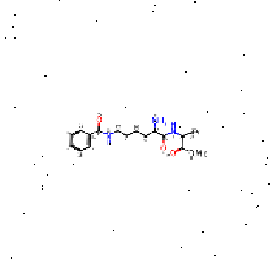 COC(=O)C(NC(=O)C(N)CCCCNC(=O)c1ccccc1)C(C)C